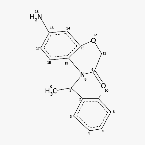 CC(c1ccccc1)N1C(=O)COc2cc(N)ccc21